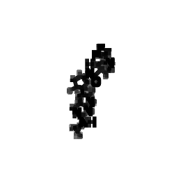 Cc1ccc(NC(=O)c2ccnc(C(F)(F)F)c2)cc1-c1cc2cnc(NC3CC3)nc2nc1C